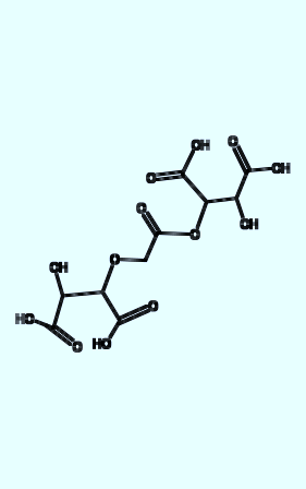 O=C(COC(C(=O)O)C(O)C(=O)O)OC(C(=O)O)C(O)C(=O)O